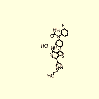 Cl.NC(=O)N(c1ccc(-c2csc3c(-c4cnn(CCO)c4)cnc(N)c23)cc1)c1cccc(F)c1